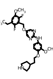 CCc1cc(OC)c(F)c(COc2cnc(Nc3ccc(OCCC4CCNCC4)c(OC)c3)nc2)c1F